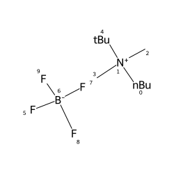 CCCC[N+](C)(C)C(C)(C)C.F[B-](F)(F)F